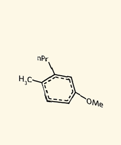 [CH2]CCc1cc(OC)ccc1C